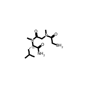 BCC(=O)N(C)CC(=O)N(C)[C@@H](CC(C)C)C(N)=O